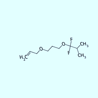 C=CCOCCCOC(F)(F)C(C)C